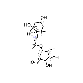 C[C@@H](/C=C/[C@@]1(O)C(C)(C)C[C@@H](O)C[C@@]1(C)O)O[C@@H]1O[C@H](CO)[C@@H](O)[C@H](O)[C@H]1O